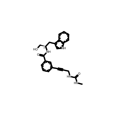 CNC(=O)NCC#Cc1cccc(C(=O)N[C@@H](CO)Cc2c[nH]c3ccccc23)c1